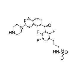 O=C(c1ccc2ncc(N3CCNCC3)cc2c1)c1c(F)c(F)cc(CCCN[SH](=O)=O)c1F